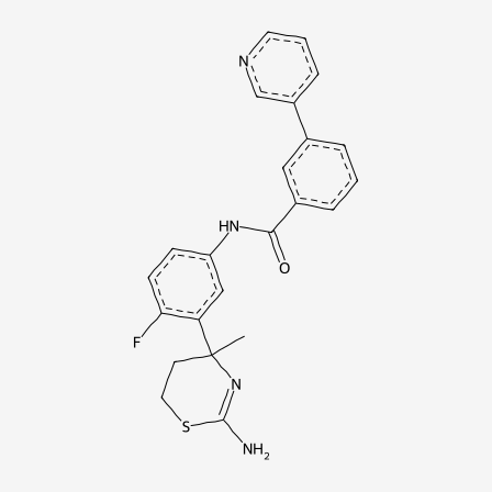 CC1(c2cc(NC(=O)c3cccc(-c4cccnc4)c3)ccc2F)CCSC(N)=N1